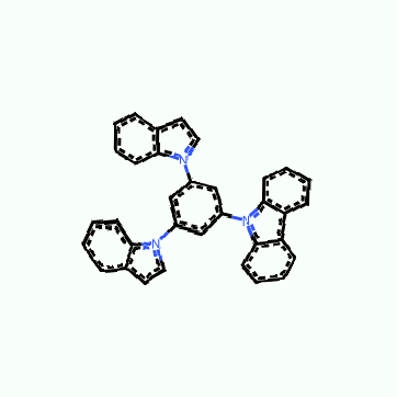 c1ccc2c(c1)ccn2-c1cc(-n2ccc3ccccc32)cc(-n2c3ccccc3c3ccccc32)c1